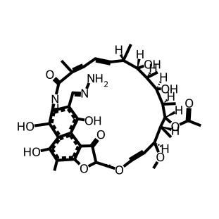 CO[C@H]1/C=C/O[C@@]2(C)Oc3c(C)c(O)c4c(O)c(c(/C=N/N)c(O)c4c3C2=O)NC(=O)/C(C)=C\C=C\[C@H](C)[C@H](O)[C@@H](C)[C@@H](O)[C@@H](C)[C@H](OC(C)=O)[C@@H]1C